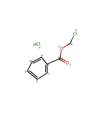 Cl.O=C(OCCl)c1ccccc1